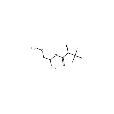 COCC(C)OC(=O)C(F)C(F)(F)F